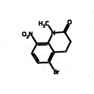 CN1C(=O)CCc2c(Br)ccc([N+](=O)[O-])c21